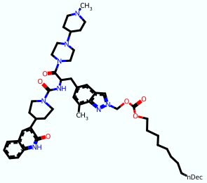 CCCCCCCCCCCCCCCCCCOC(=O)OCn1cc2cc(CC(NC(=O)N3CCC(c4cc5ccccc5[nH]c4=O)CC3)C(=O)N3CCN(C4CCN(C)CC4)CC3)cc(C)c2n1